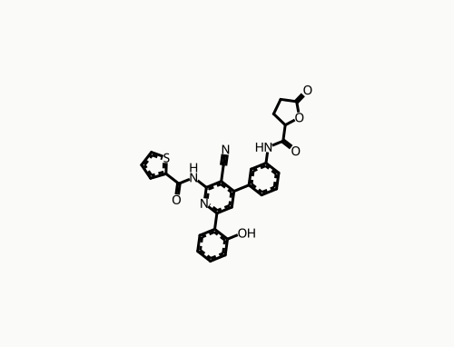 N#Cc1c(-c2cccc(NC(=O)C3CCC(=O)O3)c2)cc(-c2ccccc2O)nc1NC(=O)c1cccs1